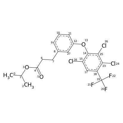 CC(C)OC(=O)CCc1cccc(Oc2c(Cl)cc(C(F)(F)F)c(Cl)c2Cl)c1